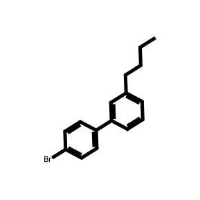 CCCCc1cc[c]c(-c2ccc(Br)cc2)c1